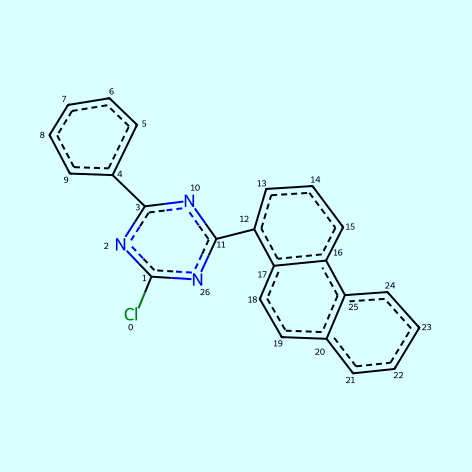 Clc1nc(-c2ccccc2)nc(-c2cccc3c2ccc2ccccc23)n1